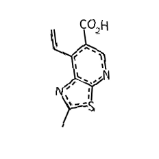 C=Cc1c(C(=O)O)cnc2sc(C)nc12